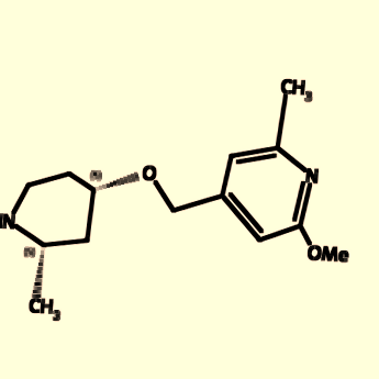 COc1cc(CO[C@H]2CCN[C@@H](C)C2)cc(C)n1